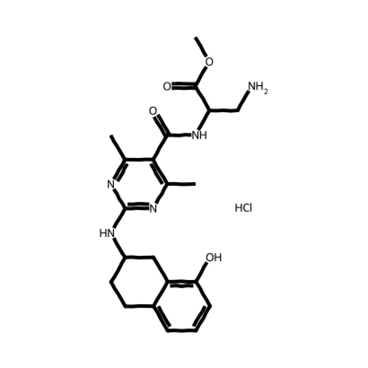 COC(=O)C(CN)NC(=O)c1c(C)nc(NC2CCc3cccc(O)c3C2)nc1C.Cl